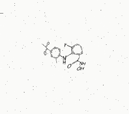 Cc1cc(S(C)(=O)=O)ccc1Nc1c(F)cccc1C(=O)NO